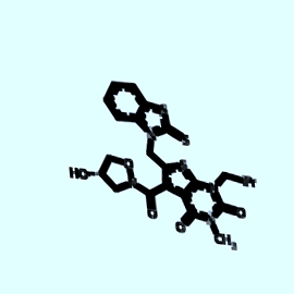 CC(C)Cn1c(=O)n(C)c(=O)c2c(C(=O)N3C[C@H](O)CO3)c(Cn3c(=S)sc4ccccc43)sc21